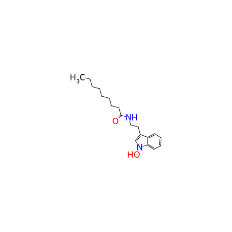 CCCCCCCCC(=O)NCCc1cn(O)c2ccccc12